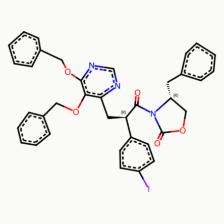 O=C1OC[C@@H](Cc2ccccc2)N1C(=O)[C@H](Cc1ncnc(OCc2ccccc2)c1OCc1ccccc1)c1ccc(I)cc1